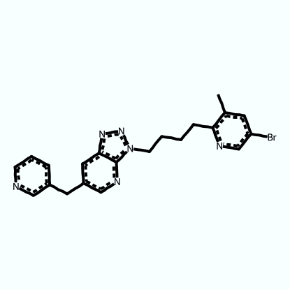 Cc1cc(Br)cnc1CCCCn1nnc2cc(Cc3cccnc3)cnc21